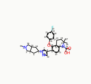 CN1CC2CC(n3cc(-c4ccc5c(c4Oc4ccc(F)cc4)CCC(C)(C)N5C(=O)O)cn3)CC2C1